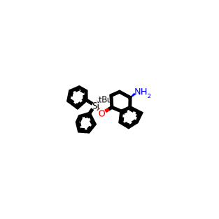 CC(C)(C)[Si](OC1CC[C@@H](N)c2ccccc21)(c1ccccc1)c1ccccc1